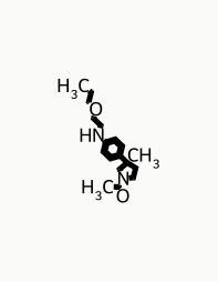 CCCOCCNc1ccc(C2(C)CCN(C(C)=O)C2)cc1